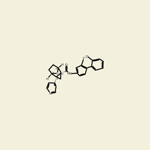 O=C(Nc1ccc(-c2ccccc2Cl)c(F)c1)[C@]12C[C@@]1(c1ccncc1)[C@@H]1CC[C@H]2O1